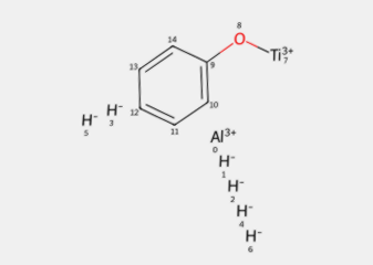 [Al+3].[H-].[H-].[H-].[H-].[H-].[H-].[Ti+3][O]c1ccccc1